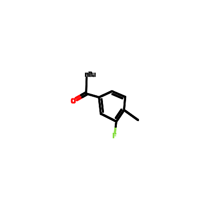 CCCCC(=O)c1ccc(C)c(F)c1